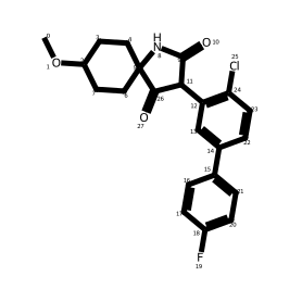 COC1CCC2(CC1)NC(=O)C(c1cc(-c3ccc(F)cc3)ccc1Cl)C2=O